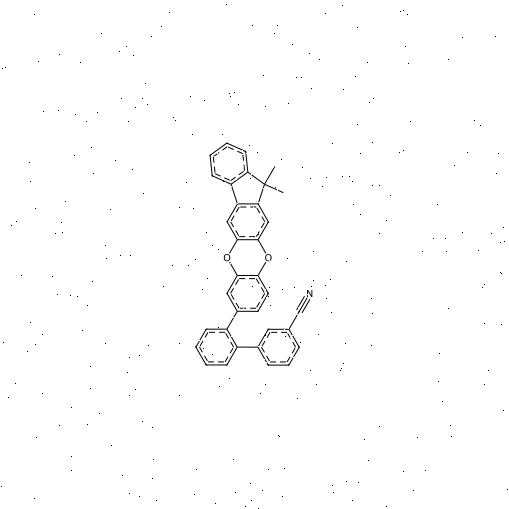 CC1(C)c2ccccc2-c2cc3c(cc21)Oc1ccc(-c2ccccc2-c2cccc(C#N)c2)cc1O3